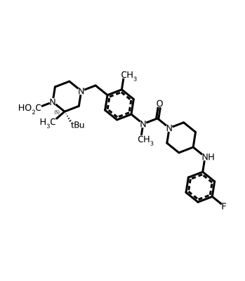 Cc1cc(N(C)C(=O)N2CCC(Nc3cccc(F)c3)CC2)ccc1CN1CCN(C(=O)O)[C@@](C)(C(C)(C)C)C1